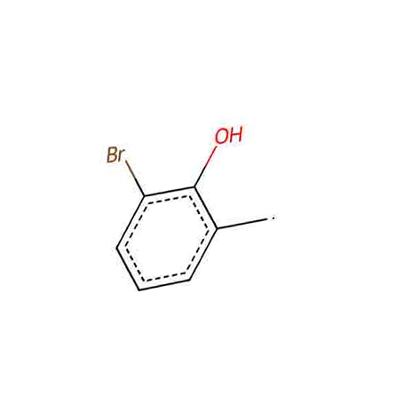 [CH2]c1cccc(Br)c1O